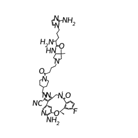 C[C@H]1Oc2cc(cnc2N)-c2c(nn(CC3CCN(C(=O)CCCN4C[C@H](NC(=O)[C@@H](N)CCCn5ccnc5N)C(C)(C)C4)CC3)c2C#N)CN(C)C(=O)c2ccc(F)cc21